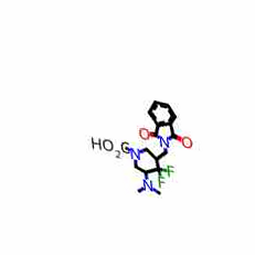 CN(C)C1CN(C(=O)O)CC(CN2C(=O)c3ccccc3C2=O)C1(F)F